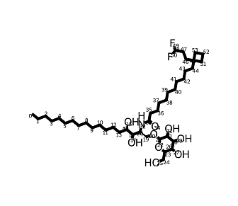 CCCCCCCCCCCCCC[C@@H](O)C(O)[C@H](COC1OC(CO)C(O)C(O)C1O)NC(=O)CCCCCCCCCCC1(CCC(F)F)CCC1